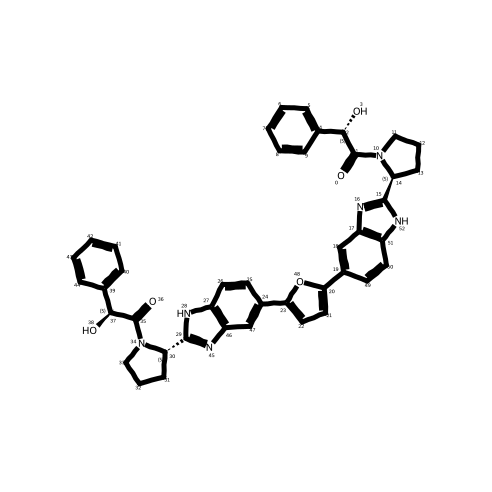 O=C([C@@H](O)c1ccccc1)N1CCC[C@H]1c1nc2cc(-c3ccc(-c4ccc5[nH]c([C@@H]6CCCN6C(=O)[C@@H](O)c6ccccc6)nc5c4)o3)ccc2[nH]1